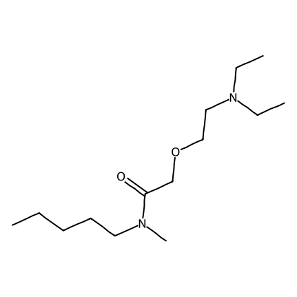 CCCCCN(C)C(=O)COCCN(CC)CC